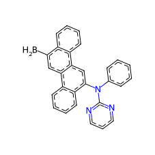 Bc1cc2c3ccccc3c(N(c3ccccc3)c3ncccn3)cc2c2ccccc12